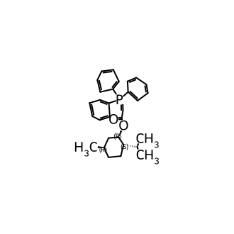 CC(C)[C@@H]1CC[C@@H](C)C[C@H]1OC(=O)C=P(c1ccccc1)(c1ccccc1)c1ccccc1